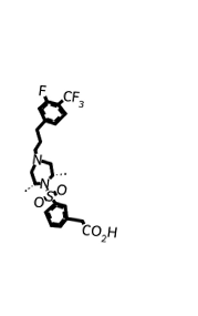 C[C@@H]1CN(CCCc2ccc(C(F)(F)F)c(F)c2)C[C@H](C)N1S(=O)(=O)c1cccc(CC(=O)O)c1